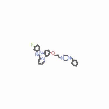 Fc1ccc2c(c1)nc(-c1ccccn1)n2-c1ccc(OCCCN2CCN(Cc3ccccc3)CC2)cc1